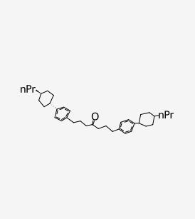 CCCC1CCC(c2ccc(CCCC(=O)CCCc3ccc([C@H]4CC[C@H](CCC)CC4)cc3)cc2)CC1